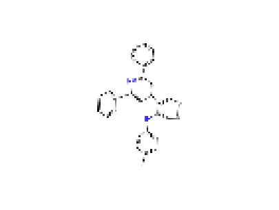 Cc1ccc(Nc2ccccc2-c2cc(-c3ccccc3)nc(-c3ccccc3)c2)cc1